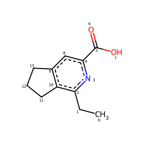 CCc1nc(C(=O)O)cc2c1CCC2